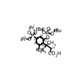 Cc1cc(P(=O)(OC(C)C)OC(C)C)cc(OP(=O)(OC(C)(C)C)OC(C)(C)C)c1C(C)(C)CC(=O)O